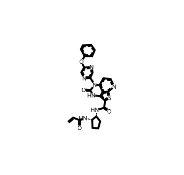 C=CC(=O)N[C@H]1CCC[C@H]1NC(=O)c1sc2nccc3c2c1NC(=O)N3c1cnc(Oc2ccccc2)cn1